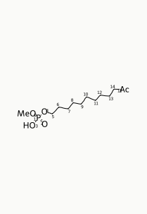 COP(=O)(O)OCCCCCCCCCCC(C)=O